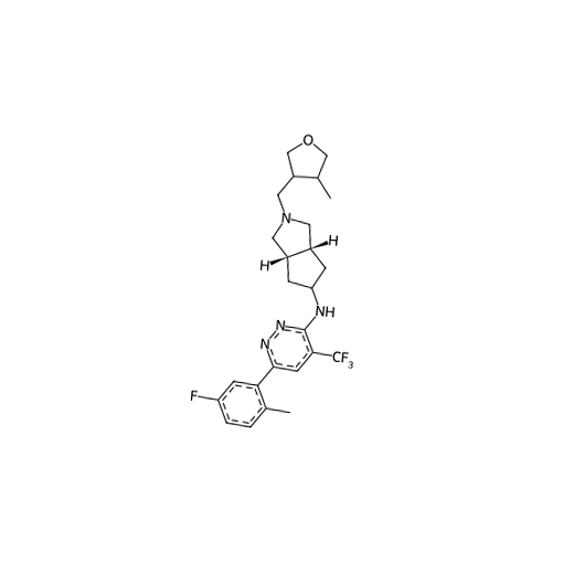 Cc1ccc(F)cc1-c1cc(C(F)(F)F)c(NC2C[C@@H]3CN(CC4COCC4C)C[C@@H]3C2)nn1